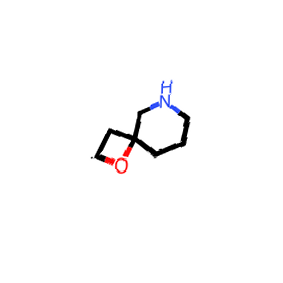 [CH]1CC2(CCCNC2)O1